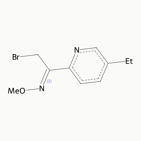 CCc1ccc(/C(CBr)=N/OC)nc1